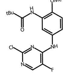 COc1ccc(Nc2nc(Cl)ncc2F)cc1NC(=O)C(C)(C)C